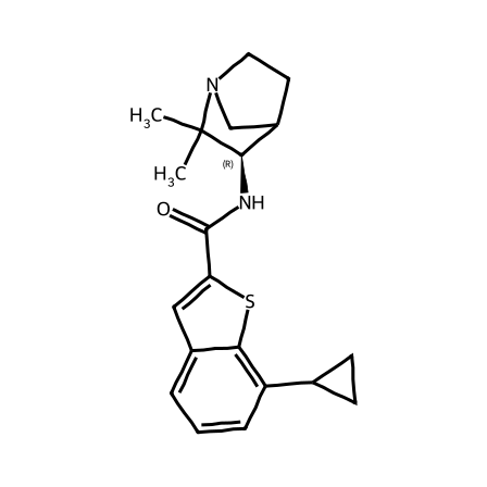 CC1(C)[C@H](NC(=O)c2cc3cccc(C4CC4)c3s2)C2CCN1C2